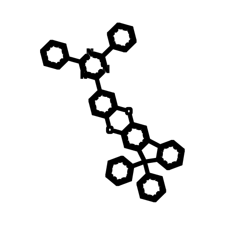 c1ccc(-c2nc(-c3ccccc3)nc(-c3ccc4c(c3)Oc3cc5c(cc3O4)C(c3ccccc3)(c3ccccc3)c3ccccc3-5)n2)cc1